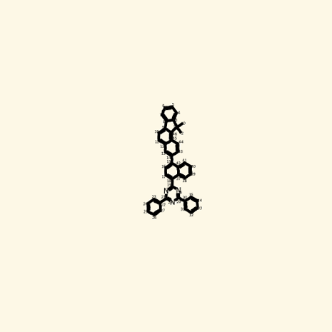 CC1(C)c2ccccc2-c2ccc3cc(-c4ccc(-c5nc(-c6ccccc6)nc(-c6ccccc6)n5)c5ccccc45)ccc3c21